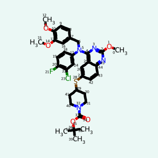 COc1nc(N(Cc2ccc(OC)c(OC)c2)c2ccc(F)c(Cl)c2)c2cc(SC3CCN(C(=O)OC(C)(C)C)CC3)ccc2n1